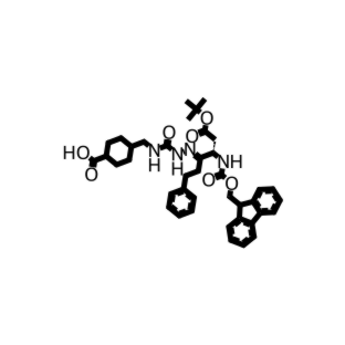 CC(C)(C)OC(=O)C[C@H](NC(=O)OCC1c2ccccc2-c2ccccc21)/C(CCc1ccccc1)=N/NC(=O)NCC1CCC(C(=O)O)CC1